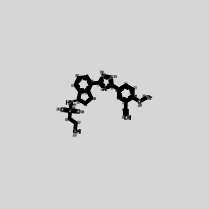 C#Cc1cc(-c2nc(-c3cccc4c3CC[C@@H]4NS(=O)(=O)CCO)ns2)ccc1OC(C)C